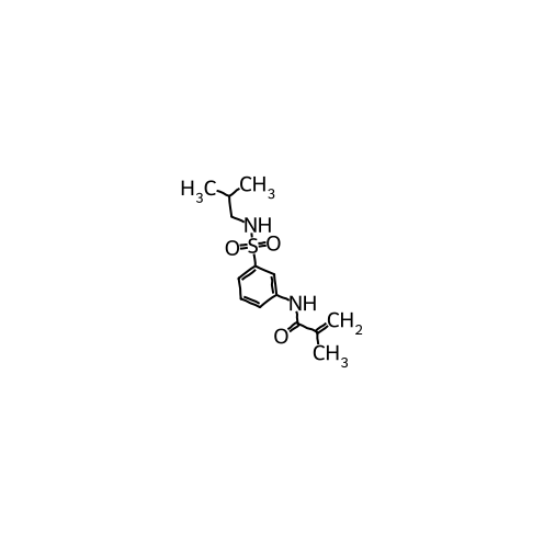 C=C(C)C(=O)Nc1cccc(S(=O)(=O)NCC(C)C)c1